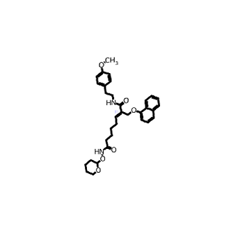 COc1ccc(CCNC(=O)/C(=C/CCCCC(=O)NOC2CCCCO2)COc2cccc3ccccc23)cc1